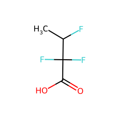 CC(F)C(F)(F)C(=O)O